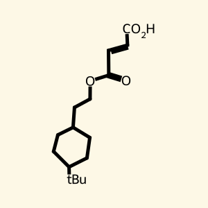 CC(C)(C)C1CCC(CCOC(=O)/C=C/C(=O)O)CC1